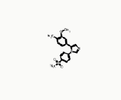 COc1cc(-c2cncn2-c2ccc(S(C)(=O)=O)cc2)ccc1C